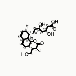 C[C@@H](CCO)C(=O)O[C@H]1CCC=C2C=C[C@H](C)[C@H](CC[C@@H](O)C[C@@H](O)CC(=O)O)[C@H]21